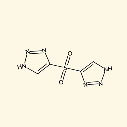 O=S(=O)(c1c[nH]nn1)c1c[nH]nn1